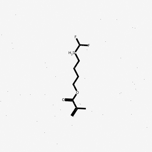 C=C(C)C(=O)OCCCC[SiH2]C(F)F